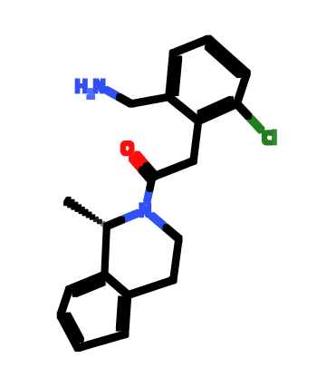 C[C@H]1c2ccccc2CCN1C(=O)Cc1c(Cl)cccc1CN